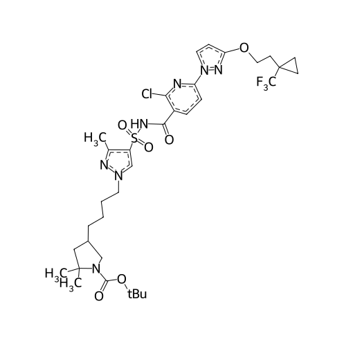 Cc1nn(CCCCC2CN(C(=O)OC(C)(C)C)C(C)(C)C2)cc1S(=O)(=O)NC(=O)c1ccc(-n2ccc(OCCC3(C(F)(F)F)CC3)n2)nc1Cl